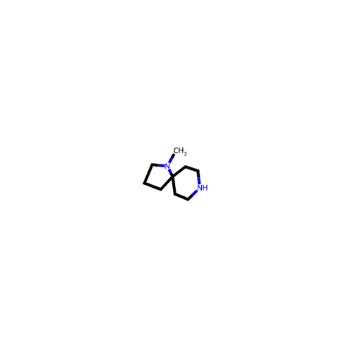 CN1CCCC12CCNCC2